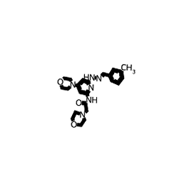 Cc1cccc(/C=N/Nc2cc(N3CCOCC3)cc(NC(=O)CN3CCOCC3)n2)c1